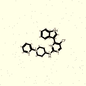 Clc1cnc(NC2CCN(c3ccccn3)CC2)nc1-c1c[nH]c2ccccc12